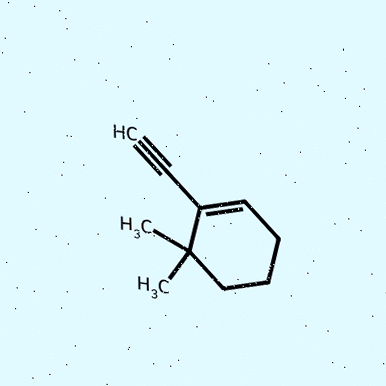 C#CC1=CCCCC1(C)C